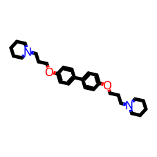 c1cc(-c2ccc(OCCCN3CCCCC3)cc2)ccc1OCCCN1CCCCC1